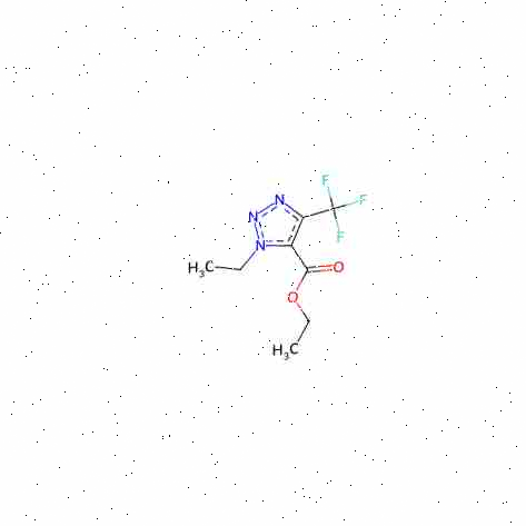 CCOC(=O)c1c(C(F)(F)F)nnn1CC